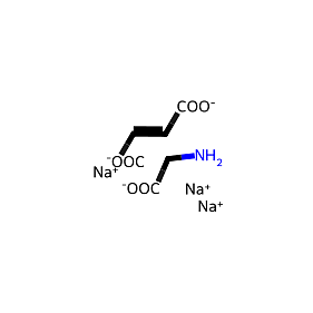 NCC(=O)[O-].O=C([O-])/C=C/C(=O)[O-].[Na+].[Na+].[Na+]